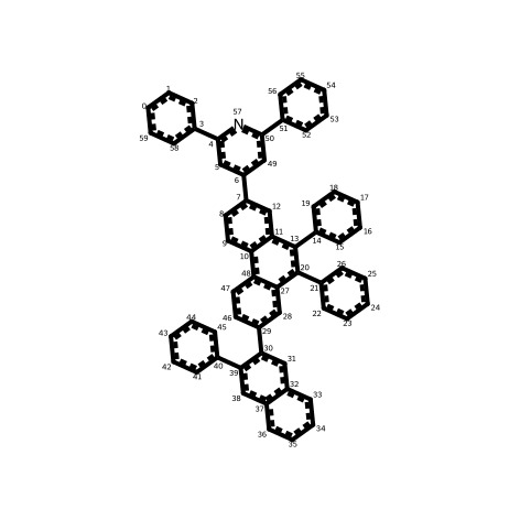 c1ccc(-c2cc(-c3ccc4c(c3)c(-c3ccccc3)c(-c3ccccc3)c3cc(-c5cc6ccccc6cc5-c5ccccc5)ccc34)cc(-c3ccccc3)n2)cc1